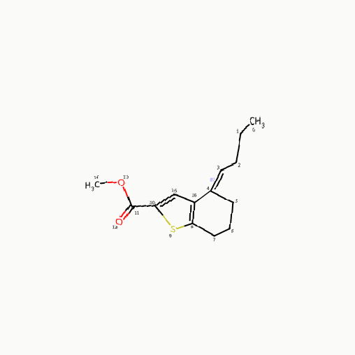 CCC/C=C1\CCCc2sc(C(=O)OC)cc21